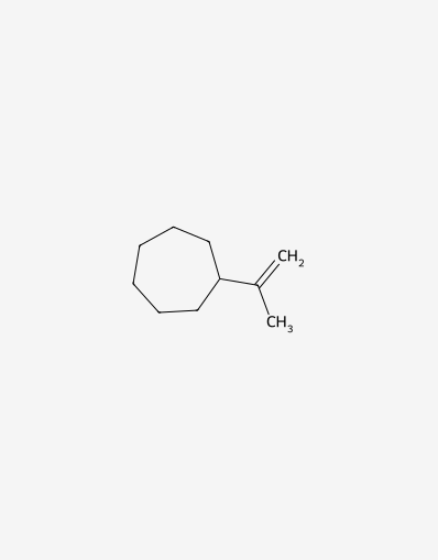 C=C(C)C1CCCCCC1